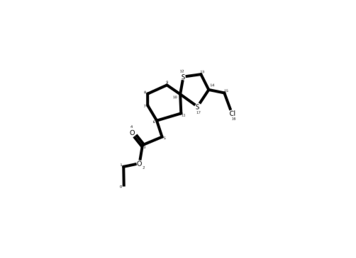 CCOC(=O)CC1CCCC2(C1)SCC(CCl)S2